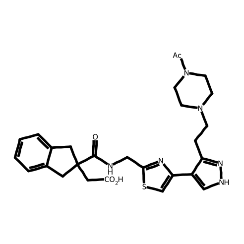 CC(=O)N1CCN(CCc2n[nH]cc2-c2csc(CNC(=O)C3(CC(=O)O)Cc4ccccc4C3)n2)CC1